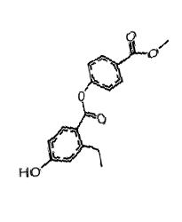 CCc1cc(O)ccc1C(=O)Oc1ccc(C(=O)OC)cc1